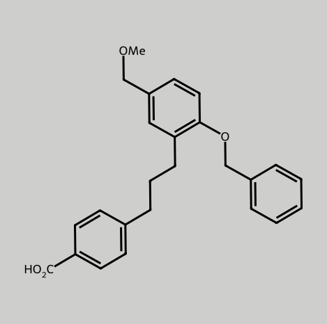 COCc1ccc(OCc2ccccc2)c(CCCc2ccc(C(=O)O)cc2)c1